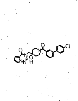 O=C(c1cccc(-c2ccc(Cl)cc2)c1)N1CCC(O)(Cn2cnn3cccc3c2=O)CC1